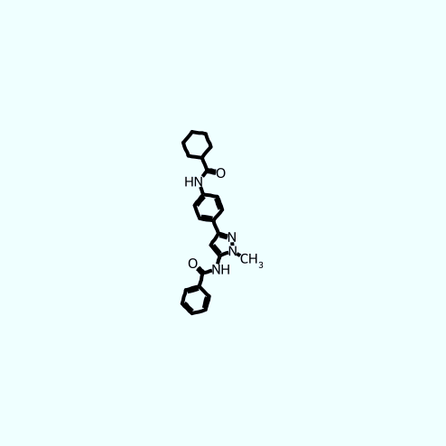 Cn1nc(-c2ccc(NC(=O)C3CCCCC3)cc2)cc1NC(=O)c1ccccc1